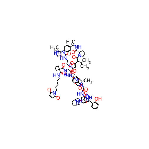 Cc1ncsc1-c1ccc([C@H](C)NC(=O)[C@@H]2CCCN2C(=O)C(c2cc(OCCN3CCN(CCOc4cc(N5C6CCC5CN(c5cc(-c7ccccc7O)nnc5NC(=O)OCc5ccc(NC(=O)[C@H](CCCNC(N)=O)NC(=O)C7(C(=O)NCCCCCN8C(=O)C=CC8=O)CCC7)cc5)C6)ccn4)[C@H](C)C3)no2)C(C)C)cc1